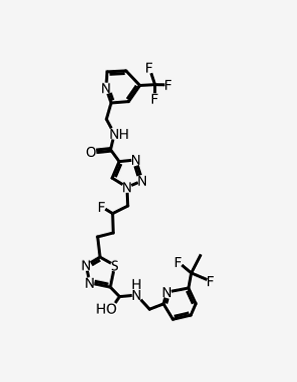 CC(F)(F)c1cccc(CNC(O)c2nnc(CCC(F)Cn3cc(C(=O)NCc4cc(C(F)(F)F)ccn4)nn3)s2)n1